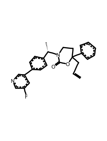 C=CCC1(c2ccccc2)CCN([C@@H](C)c2ccc(-c3cncc(F)c3)cc2)C(=O)O1